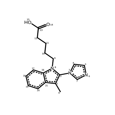 Cc1c(-n2ccnc2)n(CCCCC(=O)O)c2ccccc12